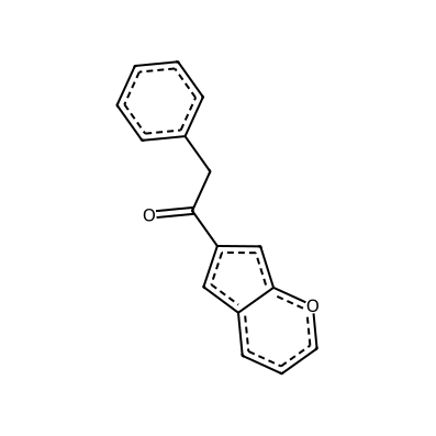 O=C(Cc1ccccc1)c1cc2cccoc-2c1